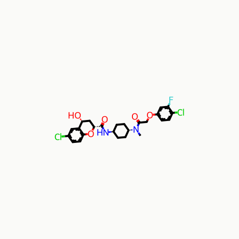 CN(C(=O)COc1ccc(Cl)c(F)c1)[C@H]1CC[C@H](NC(=O)[C@H]2C[C@@H](O)c3cc(Cl)ccc3O2)CC1